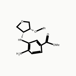 COC(=O)c1ccc(N)c(N[C@@H]2COC[C@@H]2OC(C)C)c1